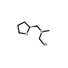 CC(C)CN(C)C[C@@H]1CCCO1